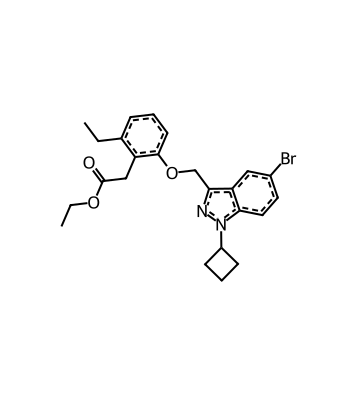 CCOC(=O)Cc1c(CC)cccc1OCc1nn(C2CCC2)c2ccc(Br)cc12